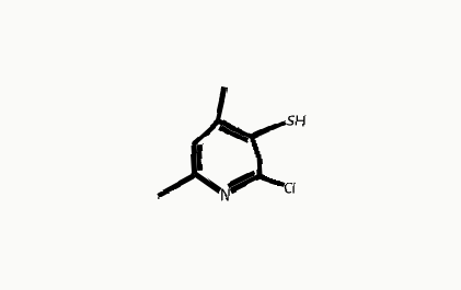 Cc1cc(C)c(S)c(Cl)n1